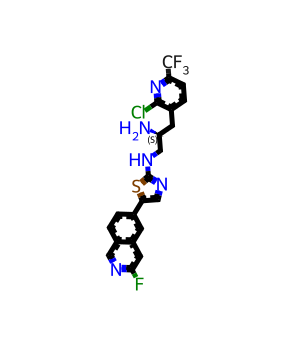 N[C@H](CNc1ncc(-c2ccc3cnc(F)cc3c2)s1)Cc1ccc(C(F)(F)F)nc1Cl